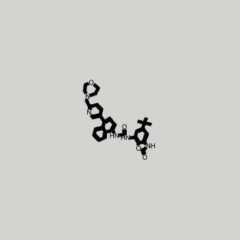 CC(C)(C)c1cc(NC(=O)Nc2ccc(-c3ccc(CN4CCOCC4)nc3)c3ccccc23)c2oc(=O)[nH]c2c1